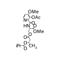 COC(=O)C(COC(=O)CC(C)OC(=O)C(C)C)NC(=O)c1nccc(OC)c1OC(C)=O